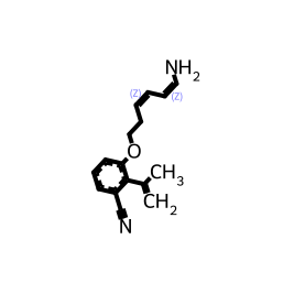 C=C(C)c1c(C#N)cccc1OCC/C=C\C=C/N